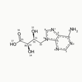 Nc1ncnc2c1ncn2C[C@H](O)[C@@H](O)C(=O)O